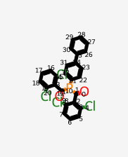 O=C(c1c(Cl)cccc1Cl)P(C(=O)c1c(Cl)cccc1Cl)c1ccc(-c2ccccc2)cc1